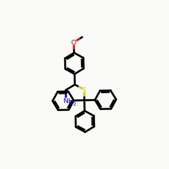 COc1ccc(C(CN)SC(c2ccccc2)(c2ccccc2)c2ccccc2)cc1